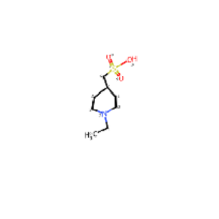 CCN1CCC(CS(=O)(=O)O)CC1